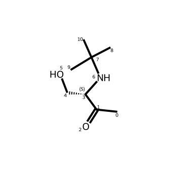 CC(=O)[C@H](CO)NC(C)(C)C